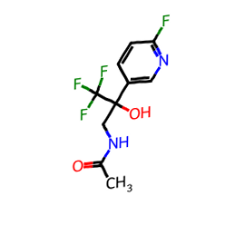 CC(=O)NCC(O)(c1ccc(F)nc1)C(F)(F)F